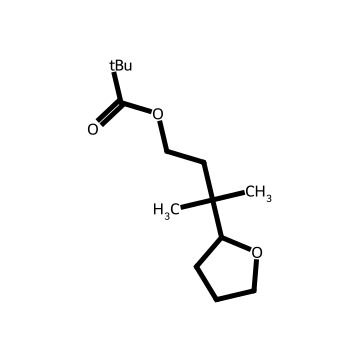 CC(C)(C)C(=O)OCCC(C)(C)C1CCCO1